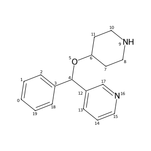 c1ccc(C(OC2CCNCC2)c2cccnc2)cc1